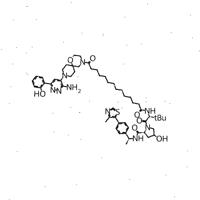 Cc1ncsc1-c1ccc([C@H](C)NC(=O)[C@@H]2CC(O)CN2C(=O)[C@@H](NC(=O)CCCCCCCCCCCCC(=O)N2CCOC3(CCN(c4cc(-c5ccccc5O)nnc4N)CC3)C2)C(C)(C)C)cc1